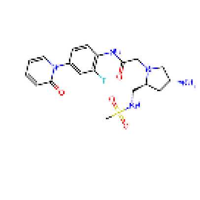 CS(=O)(=O)NC[C@@H]1C[C@@H](N)CN1CC(=O)Nc1ccc(-n2ccccc2=O)cc1F